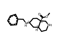 COC(=O)[C@]12CC[C@H](NCc3ccccc3)C[C@@H]1CCNC2